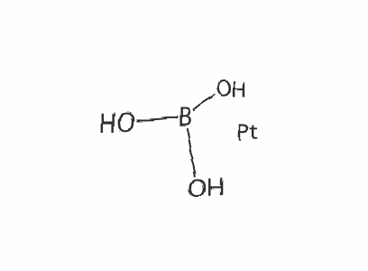 OB(O)O.[Pt]